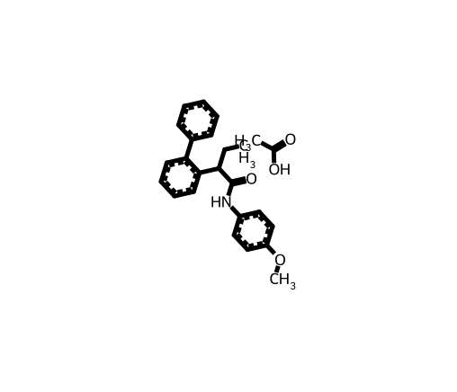 CC(=O)O.CCC(C(=O)Nc1ccc(OC)cc1)c1ccccc1-c1ccccc1